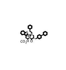 O=C(O)C(Cc1csc2ccccc12)NC(=O)[C@@H](Cc1ccc(-c2ccccc2)cc1)CP(O)CCc1ccccc1